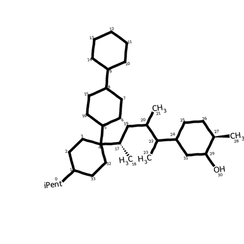 CCCC(C)C1CCC(C2CCC(C3CCCCC3)CC2)([C@@H](C)CC(C)C(C)C2CC[C@@H](C)C(O)C2)CC1